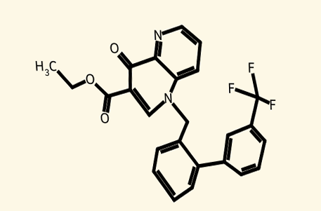 CCOC(=O)c1cn(Cc2ccccc2-c2cccc(C(F)(F)F)c2)c2cccnc2c1=O